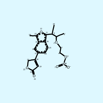 [CH2]C(OCCO[N+](=O)[O-])C(C)c1oc(C)c2cc(C3=CC(=O)OC3)ccc12